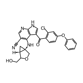 N#Cc1cnc2[nH]cc(C(=O)c3ccc(Oc4ccccc4)cc3Cl)c2c1N[C@@]12COC(CO)[C@@H]1C2